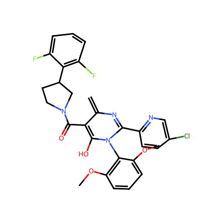 C=C1N=C(c2ccc(Cl)cn2)N(c2c(OC)cccc2OC)C(O)=C1C(=O)N1CCC(c2c(F)cccc2F)C1